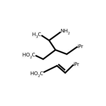 CC(C)C=CC(=O)O.CC(C)CC(CC(=O)O)C(C)N